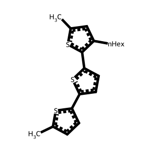 CCCCCCc1cc(C)sc1-c1ccc(-c2ccc(C)s2)s1